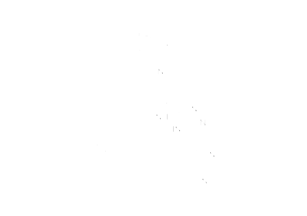 CC(C)(C)OC(=O)N1CCC(Nc2cccc(C(=O)O)c2)(c2nnc(-c3ccncn3)[nH]2)CC1